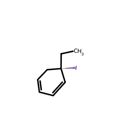 CC[C@@]1(I)C=CC=CC1